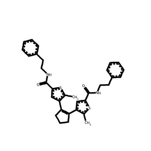 Cc1sc(C(=O)NCCc2ccccc2)cc1C1=C(c2cc(C(=O)NCCc3ccccc3)sc2C)CCC1